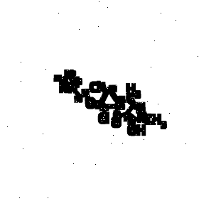 Cc1nn(C)c(O)c1C(=O)c1ccc(Cl)c(OCCn2ncnn2)c1Cl